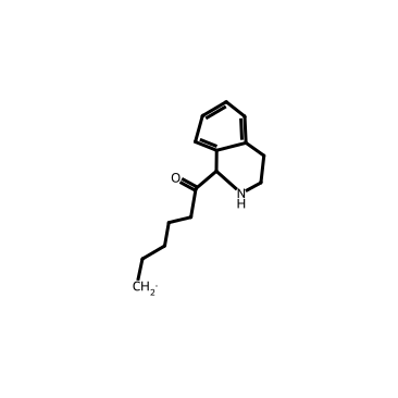 [CH2]CCCCC(=O)C1NCCc2ccccc21